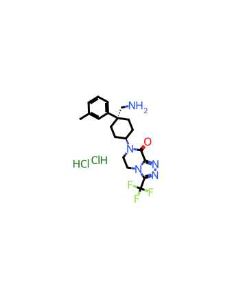 Cc1cccc([C@]2(CN)CC[C@H](N3CCn4c(nnc4C(F)(F)F)C3=O)CC2)c1.Cl.Cl